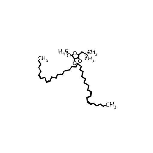 CCCCC/C=C\C/C=C\CCCCCCCCC1(CCCCCCCC/C=C\C/C=C\CCCCC)OC2C(CN(C)C)OC(OC)C2O1